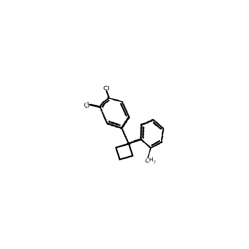 Cc1ccccc1C1(c2ccc(Cl)c(Cl)c2)CCC1